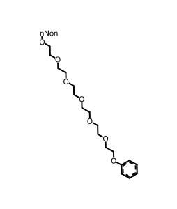 CCCCCCCCCOCCOCCOCCOCCOCCOCCOc1ccccc1